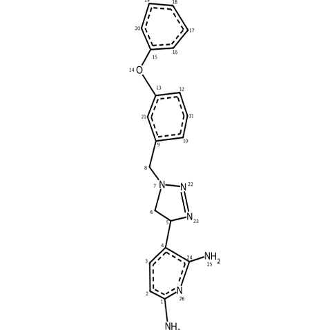 Nc1ccc(C2CN(Cc3cccc(Oc4ccccc4)c3)N=N2)c(N)n1